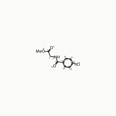 COC(=O)CNC(=O)c1ccc(Cl)cc1